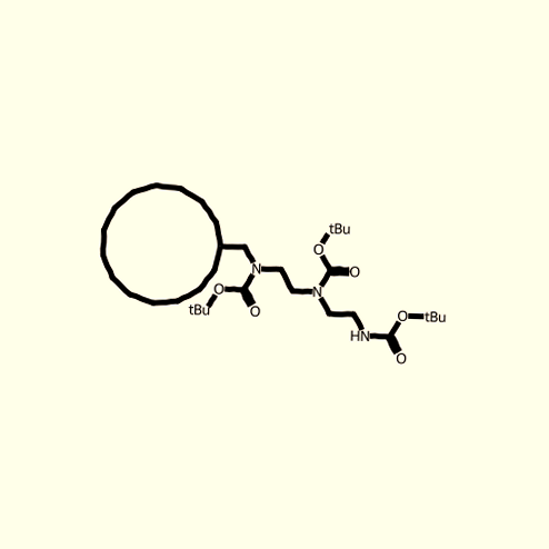 CC(C)(C)OC(=O)NCCN(CCN(CC1CCCCCCCCCCCCCC1)C(=O)OC(C)(C)C)C(=O)OC(C)(C)C